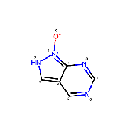 [O-][n+]1[nH]cc2cncnc21